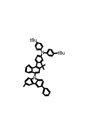 Cc1ccc2c(c1)c1cc(-c3ccccc3)ccc1n2-c1cc2c(c3ccccc13)-c1ccc(N(c3ccc(C(C)(C)C)cc3)c3ccc(C(C)(C)C)cc3)cc1C2(C)C